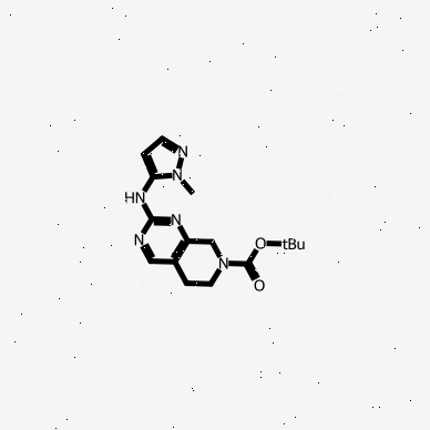 Cn1nccc1Nc1ncc2c(n1)CN(C(=O)OC(C)(C)C)CC2